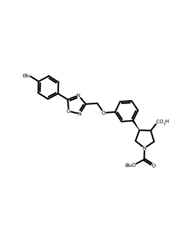 CC(C)COC(=O)N1CC(C(=O)O)[C@H](c2cccc(OCc3noc(-c4ccc(C(C)(C)C)cc4)n3)c2)C1